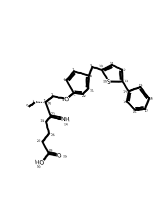 CC[C@H](COc1ccc(Cc2ccc(-c3ccccc3)s2)cc1)C(=N)CCCC(=O)O